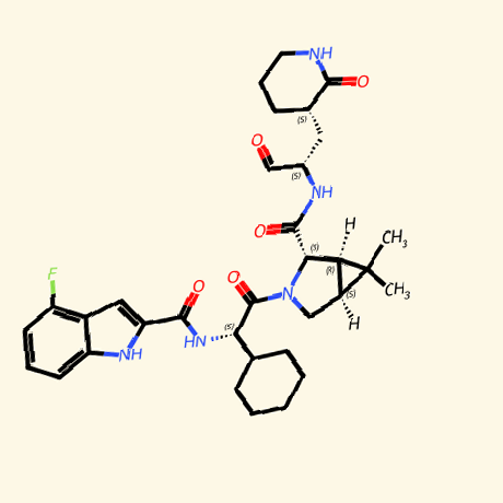 CC1(C)[C@@H]2[C@@H](C(=O)N[C@H](C=O)C[C@@H]3CCCNC3=O)N(C(=O)[C@@H](NC(=O)c3cc4c(F)cccc4[nH]3)C3CCCCC3)C[C@@H]21